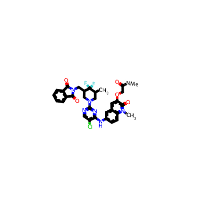 CNC(=O)COc1cc2cc(Nc3nc(N4CC(C)C(F)(F)C(CN5C(=O)c6ccccc6C5=O)C4)ncc3Cl)ccc2n(C)c1=O